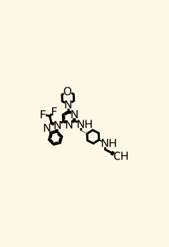 C#CCN[C@H]1CC[C@H](CNc2nc(N3CCOCC3)cc(-n3c(C(F)F)nc4ccccc43)n2)CC1